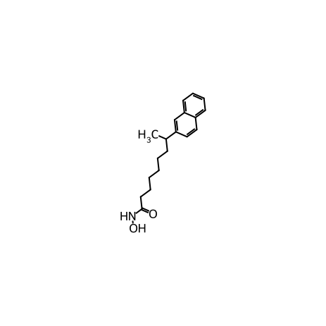 CC(CCCCCCC(=O)NO)c1ccc2ccccc2c1